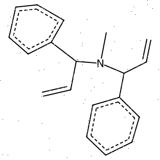 C=CC(c1ccccc1)N(C)C(C=C)c1ccccc1